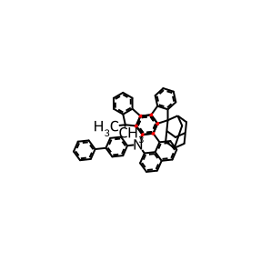 CC1(C)c2ccccc2-c2cccc(N(c3ccc(-c4ccccc4)cc3)c3cccc4cccc(-c5cccc6c5C5(c7ccccc7-6)C6CC7CC(C6)CC5C7)c34)c21